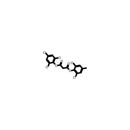 Cc1cc(Cl)c(OC(=O)CC(=O)Oc2c(Cl)cc(Cl)cc2Cl)c(Cl)c1